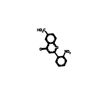 O=C(O)c1ccc2oc(-c3ccccc3[N+](=O)[O-])cc(=O)c2c1